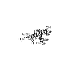 CC(=O)NC1[C@H](OCCN)OC(CO)[C@@H](O[C@@H]2OC(CO)[C@@H](O[C@@H]3OC(CO[C@@H]4C[C@@H](O)[C@H](O)C(CO)O4)[C@@H](O)[C@H](O[C@H]4CC(O)[C@@H](O)C(CO)O4)C3O)[C@H](O)C2NC(C)=O)[C@@H]1O